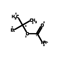 CC[CH]C(=O)OC(C)(C)CC